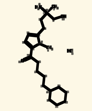 Cl.Cn1c(CC[C@@](C)(N)CO)ccc1C(=O)CCCCC1CCCCC1